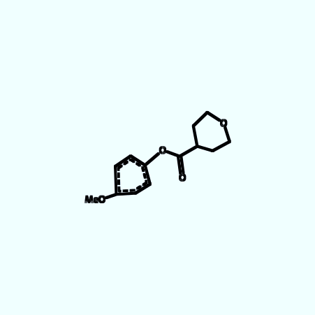 COc1ccc(OC(=O)C2CCOCC2)cc1